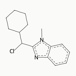 Cn1c(C(Cl)C2CCCCC2)nc2ccccc21